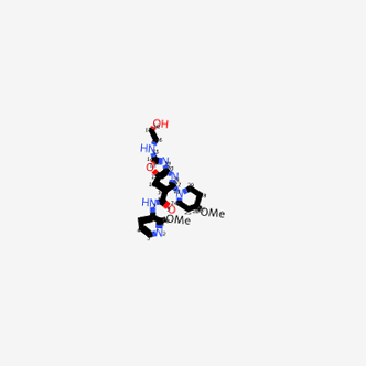 COc1ncccc1NC(=O)c1cc2oc(NCCO)nc2nc1N1CCC(OC)CC1